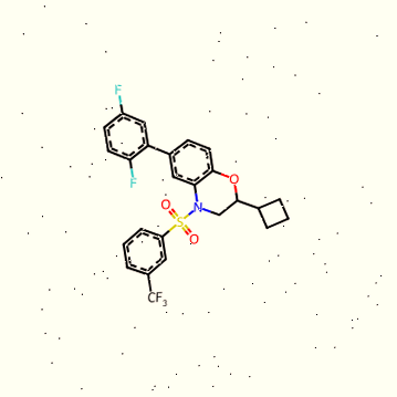 O=S(=O)(c1cccc(C(F)(F)F)c1)N1CC(C2CCC2)Oc2ccc(-c3cc(F)ccc3F)cc21